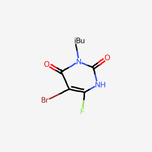 CCC(C)n1c(=O)[nH]c(F)c(Br)c1=O